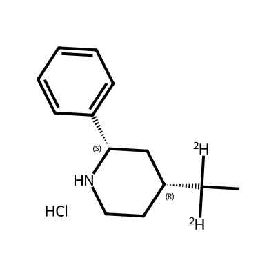 Cl.[2H]C([2H])(C)[C@@H]1CCN[C@H](c2ccccc2)C1